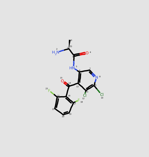 C[C@H](N)C(=O)Nc1cnc(Cl)c(Cl)c1C(=O)c1c(F)cccc1F